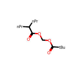 CCCC(CCC)C(=O)OCOC(=O)C(C)(C)C